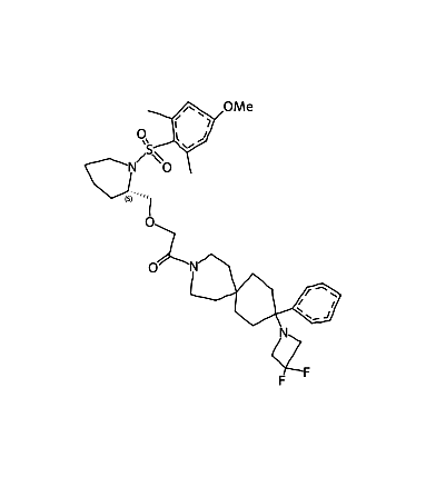 COc1cc(C)c(S(=O)(=O)N2CCCC[C@H]2COCC(=O)N2CCC3(CC2)CCC(c2ccccc2)(N2CC(F)(F)C2)CC3)c(C)c1